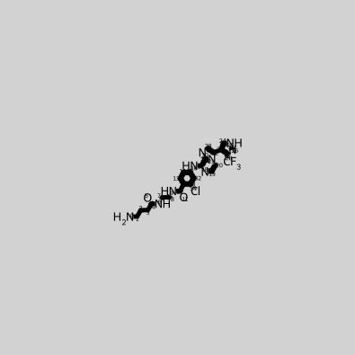 NCCCC(=O)NCCNC(=O)c1ccc(Nc2nccn3c(-c4c[nH]nc4C(F)(F)F)cnc23)cc1Cl